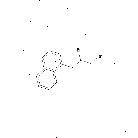 BrCC(Br)Cc1cccc2ccccc12